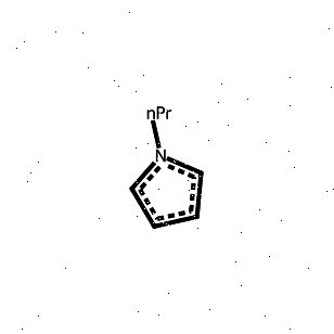 C[CH]Cn1cccc1